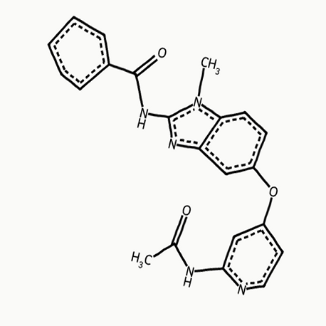 CC(=O)Nc1cc(Oc2ccc3c(c2)nc(NC(=O)c2ccccc2)n3C)ccn1